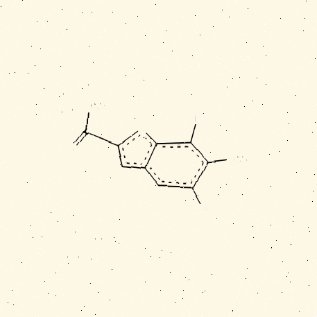 COC(=O)c1cc2cc(Br)c(OC)c(F)c2s1